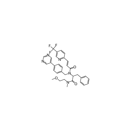 COCCN(C)C(=O)C(Cc1ccccc1)N(Cc1ccc(-c2cncnc2)cc1)C(=O)C=Cc1ccc(C(F)(F)F)cn1